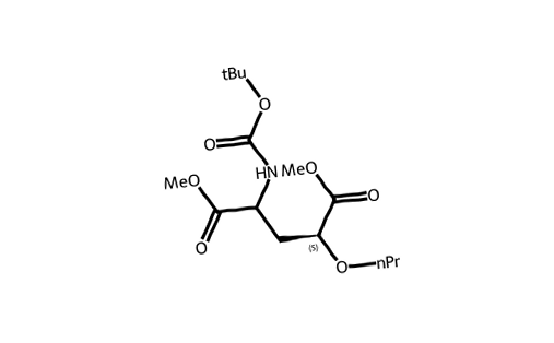 CCCO[C@@H](CC(NC(=O)OC(C)(C)C)C(=O)OC)C(=O)OC